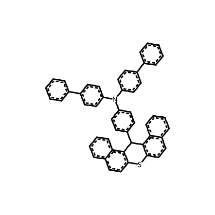 c1ccc(-c2ccc(N(c3ccc(-c4ccccc4)cc3)c3ccc(C4c5c(ccc6ccccc56)Sc5ccc6ccccc6c54)cc3)cc2)cc1